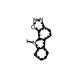 In1c2ccccc2c2ccc3nnoc3c21